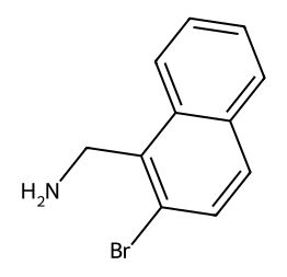 NCc1c(Br)ccc2ccccc12